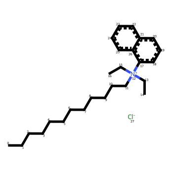 CCCCCCCCCCCC[N+](CC)(CC)c1cccc2ccccc12.[Cl-]